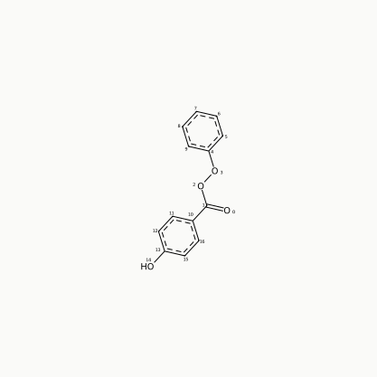 O=C(OOc1ccccc1)c1ccc(O)cc1